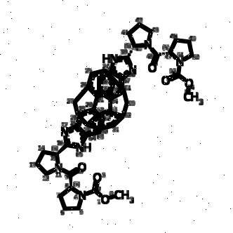 COC(=O)N1CCC[C@H]1C(=O)N1CCC[C@H]1c1nc2cc(-c3cc4ccc3CCc3ccc(c(-c5ccc6[nH]c([C@@H]7CCCN7C(=O)[C@@H]7CCCN7C(=O)OC)nc6c5)c3)CC4)ccc2[nH]1